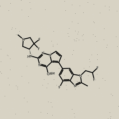 COc1nc(N[C@@H]2CN(C)CC2(F)F)nn2ccc(-c3cc(F)c4nc(C)n(CC(F)F)c4c3)c12